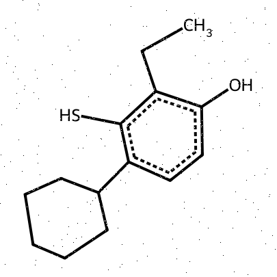 CCc1c(O)ccc(C2CCCCC2)c1S